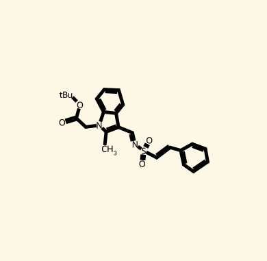 Cc1c(C=NS(=O)(=O)C=Cc2ccccc2)c2ccccc2n1CC(=O)OC(C)(C)C